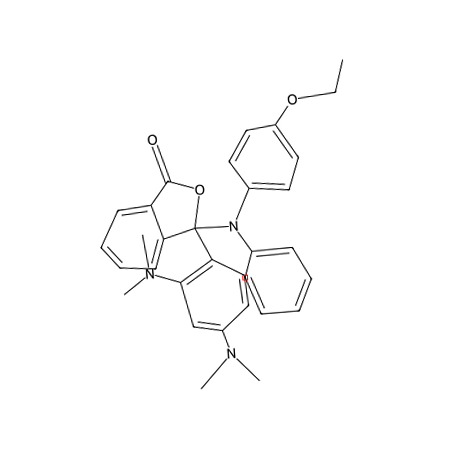 CCOc1ccc(N(c2ccccc2)C2(c3ccc(N(C)C)cc3N(C)C)OC(=O)c3ccccc32)cc1